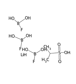 CC(C)S(=O)(=O)O.OB(O)F.OB(O)F.OB(O)F.[LiH]